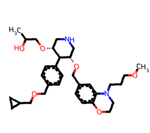 COCCCN1CCOc2ccc(CO[C@H]3CNC[C@@H](OCC(C)O)C3c3ccc(COCC4CC4)cc3)cc21